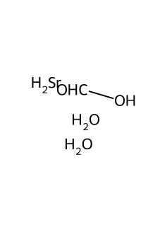 O.O.O=CO.[SrH2]